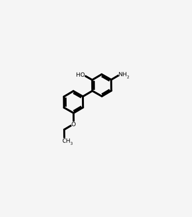 CCOc1cccc(-c2ccc(N)cc2O)c1